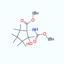 CC(C)(C)OC(=O)N[C@@]1(C(=O)OC(C)(C)C)C(C)(C)C(C)(C)C(C)(C)C1(C)O